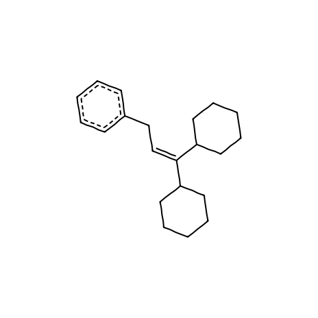 C(Cc1ccccc1)=C(C1CCCCC1)C1CCCCC1